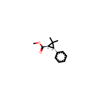 COC(=O)[C@@H]1[C@@H](c2ccccc2)C1(C)C